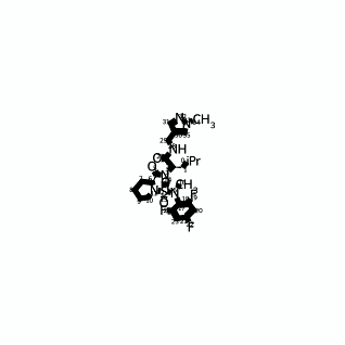 CC(C)C[C@H](NC(=O)[C@H]1CCCCN1S(=O)(=O)N(C)c1c(F)cc(F)cc1F)C(=O)NCc1cnn(C)c1